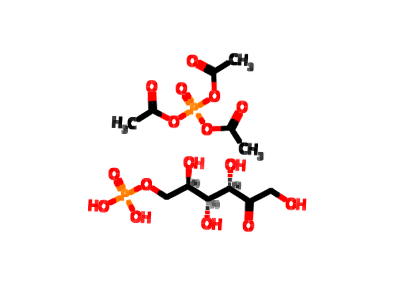 CC(=O)OP(=O)(OC(C)=O)OC(C)=O.O=C(CO)[C@@H](O)[C@H](O)[C@H](O)COP(=O)(O)O